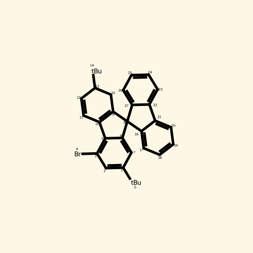 CC(C)(C)c1cc(Br)c2c(c1)C1(C3=C2C=CC(C(C)(C)C)C3)c2ccccc2-c2ccccc21